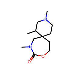 CC1CN(C)CCC12CCOC(=O)N(C)C2